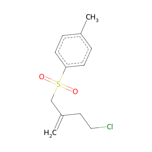 C=C(CCCl)CS(=O)(=O)c1ccc(C)cc1